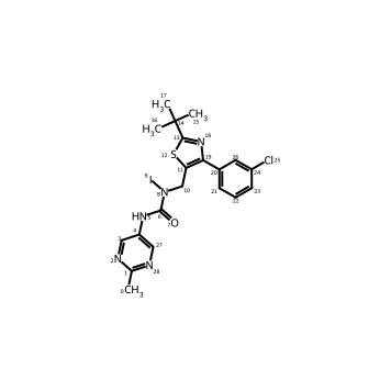 Cc1ncc(NC(=O)N(I)Cc2sc(C(C)(C)C)nc2-c2cccc(Cl)c2)cn1